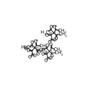 CC(=O)C(C(C)=O)(C(C)=O)C(=O)C(=O)[O-].CC(=O)C(C(C)=O)(C(C)=O)C(=O)C(=O)[O-].CC(=O)C(C(C)=O)(C(C)=O)C(=O)C(=O)[O-].[Ru+3]